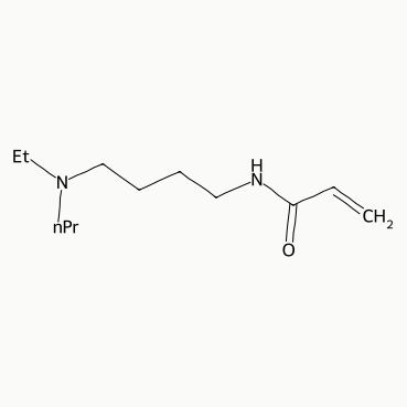 C=CC(=O)NCCCCN(CC)CCC